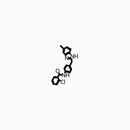 Cc1ccc2[nH]c(Cc3ccc(NC(=O)c4ccccc4Cl)cc3)nc2c1